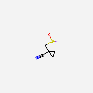 N#CC1(C[S+]([O-])I)CC1